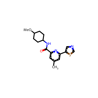 COC1CCC(NC(=O)c2cc(C)cc(-c3cncs3)n2)CC1